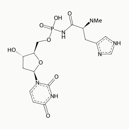 CN[C@@H](Cc1c[nH]cn1)C(=O)NP(=O)(O)OC[C@H]1O[C@@H](n2ccc(=O)[nH]c2=O)C[C@@H]1O